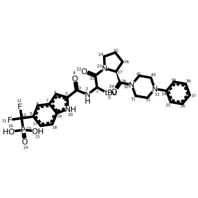 CC(C)(C)C(NC(=O)c1cc2cc(C(F)(F)P(=O)(O)O)ccc2[nH]1)C(=O)N1CCC[C@H]1C(=O)N1CCN(c2ccccc2)CC1